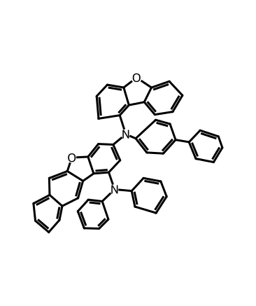 c1ccc(-c2ccc(N(c3cc(N(c4ccccc4)c4ccccc4)c4c(c3)oc3cc5ccccc5cc34)c3cccc4oc5ccccc5c34)cc2)cc1